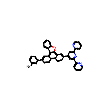 N#Cc1cccc(-c2ccc3c4ccc(-c5cc(-c6ccccn6)nc(-c6ccccn6)c5)cc4c4oc5ccccc5c4c3c2)c1